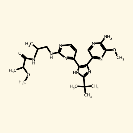 COc1nc(-c2nc(C(C)(C)C)[nH]c2-c2ccnc(NCC(C)NC(=O)C(C)OC)n2)cnc1N